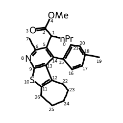 CCCC(C(=O)OC)c1c(C)nc2sc3c(c2c1-c1ccc(C)cc1)CCCCC3